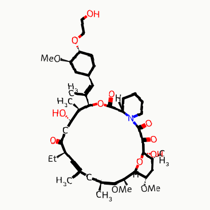 CC[C@@H]1/C=C(\C)C[C@H](C)C[C@H](OC)[C@H]2O[C@@](O)(C(=O)C(=O)N3CCCC[C@H]3C(=O)O[C@H](/C(C)=C/[C@@H]3CC[C@@H](OCCO)[C@H](OC)C3)[C@H](C)[C@@H](O)CC1=O)[C@H](C)C[C@@H]2OC